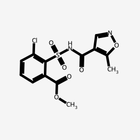 COC(=O)c1cccc(Cl)c1S(=O)(=O)NC(=O)c1cnoc1C